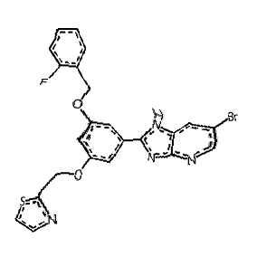 Fc1ccccc1COc1cc(OCc2nccs2)cc(-c2nc3ncc(Br)cc3[nH]2)c1